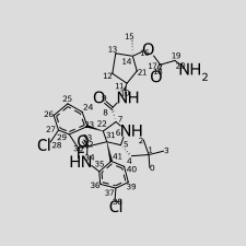 CC(C)(C)C[C@H]1N[C@@H](C(=O)N[C@H]2CC[C@@](C)(OC(=O)CN)C2)[C@H](c2cccc(Cl)c2F)[C@@]12C(=O)Nc1cc(Cl)ccc12